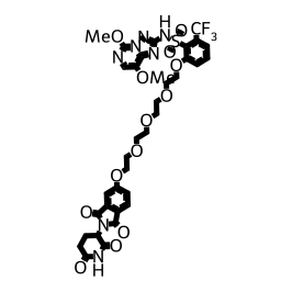 COc1cnc(OC)n2nc(NS(=O)(=O)c3c(OCCOCCOCCOCCOc4ccc5c(c4)C(=O)N(C4CCC(=O)NC4=O)C5=O)cccc3C(F)(F)F)nc12